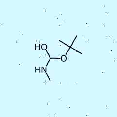 CNC(O)OC(C)(C)C